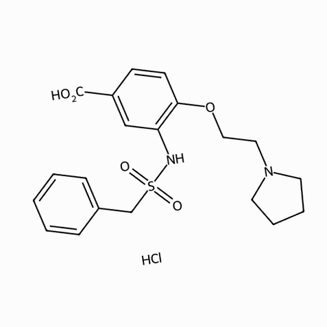 Cl.O=C(O)c1ccc(OCCN2CCCC2)c(NS(=O)(=O)Cc2ccccc2)c1